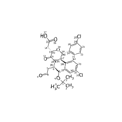 CC(C)(C)OC[C@@H](CC=O)N1C(=O)[C@H](CC(=O)O)O[C@H](c2cccc(Cl)c2)[C@H]1c1ccc(Cl)cc1